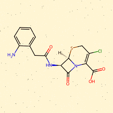 Nc1ccccc1CC(=O)N[C@@H]1C(=O)N2C(C(=O)O)=C(Cl)CS[C@H]12